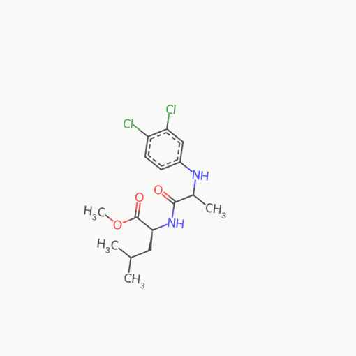 COC(=O)[C@H](CC(C)C)NC(=O)C(C)Nc1ccc(Cl)c(Cl)c1